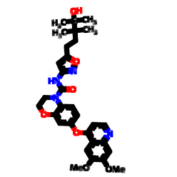 COc1cc2nccc(Oc3ccc4c(c3)OCCN4C(=O)Nc3cc(CCC(C)(C)[Si](C)(C)O)on3)c2cc1OC